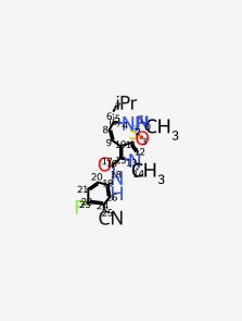 CN=S1(=O)N[C@@H](CC(C)C)C=Cc2c1cn(C)c2C(=O)Nc1ccc(F)c(C#N)c1